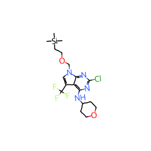 C[Si](C)(C)CCOCn1cc(C(F)(F)F)c2c(NC3CCOCC3)nc(Cl)nc21